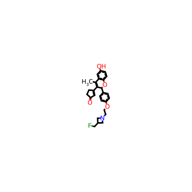 CC1=C(C2=CC(=O)CC2)C(c2ccc(OCCN3CC(CF)C3)cc2)Oc2ccc(O)cc21